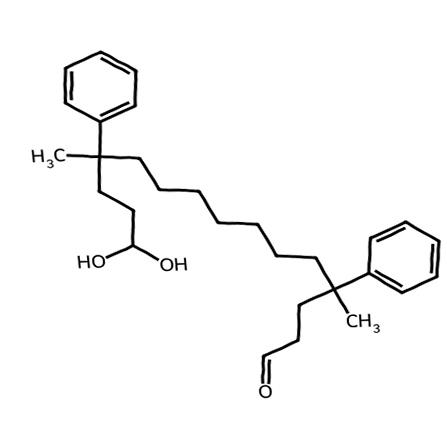 CC(CCC=O)(CCCCCCCC(C)(CCC(O)O)c1ccccc1)c1ccccc1